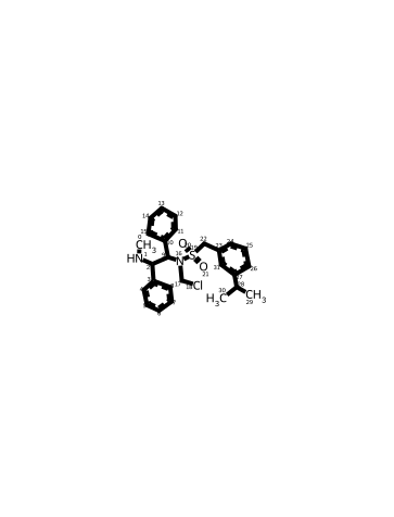 CNC(c1ccccc1)C(c1ccccc1)N(CCl)S(=O)(=O)Cc1cccc(C(C)C)c1